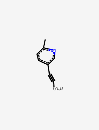 CCOC(=O)C#Cc1ccc(C)nc1